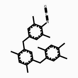 Cc1cc(C)c(Cc2cc(Cc3cc(C)c(N=C=O)c(C)c3)c(C)cc2C)cc1C